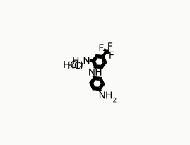 Cl.Cl.Nc1ccc(Nc2ccc(C(F)(F)F)cc2N)cc1